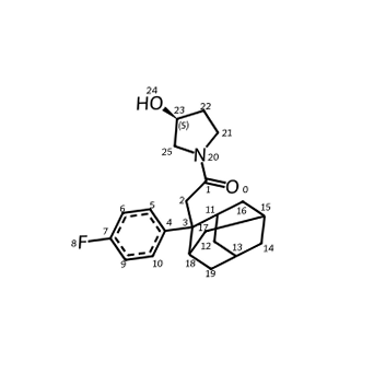 O=C(CC1(c2ccc(F)cc2)C2CC3CC(C2)CC1C3)N1CC[C@H](O)C1